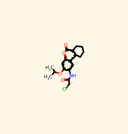 CC(C)Oc1cc2oc(=O)c3c(c2cc1NC(=O)CCl)CCCC3